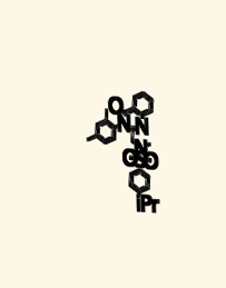 Cc1ccc(-n2c(CN(C)S(=O)(=O)c3ccc(C(C)C)cc3)nc3ccccc3c2=O)c(C)c1